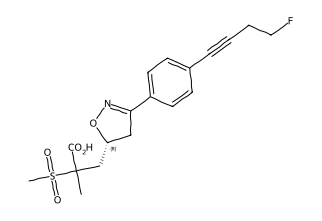 CC(C[C@H]1CC(c2ccc(C#CCCF)cc2)=NO1)(C(=O)O)S(C)(=O)=O